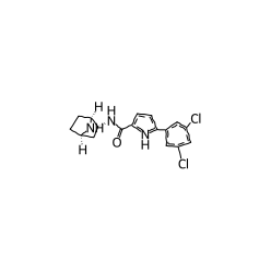 O=C(N[C@@H]1C[C@H]2CC[C@@H]1N2)c1ccc(-c2cc(Cl)cc(Cl)c2)[nH]1